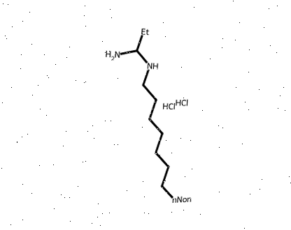 CCCCCCCCCCCCCCCCNC(N)CC.Cl.Cl